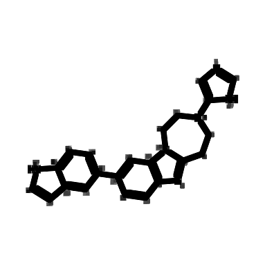 c1ncc(N2CCc3nc4ccc(-c5ccc6[nH]ccc6c5)cc4n3CC2)[nH]1